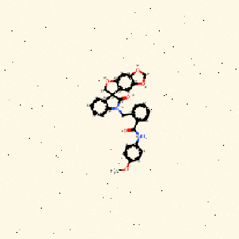 COc1ccc(NC(=O)c2ccccc2CN2C(=O)C3(COc4cc5c(cc43)OCO5)c3ccccc32)cc1